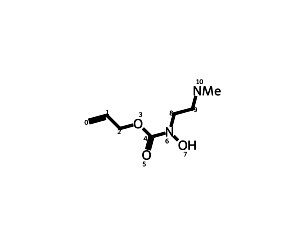 C=CCOC(=O)N(O)CCNC